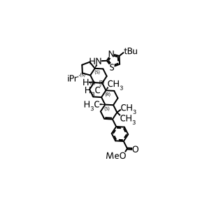 COC(=O)c1ccc(C2=CC[C@@]3(C)C(CC[C@]4(C)C3CC[C@@H]3C5[C@H](C(C)C)CC[C@]5(Nc5nc(C(C)(C)C)cs5)CC[C@]34C)C2(C)C)cc1